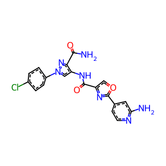 NC(=O)c1nn(-c2ccc(Cl)cc2)cc1NC(=O)c1coc(-c2ccnc(N)c2)n1